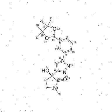 CN1CC[C@](O)(c2cn(-c3cccc(B4OC(C)(C)C(C)(C)O4)c3)nn2)C1=O